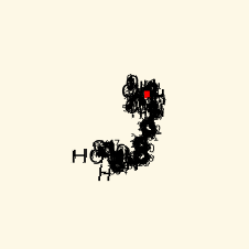 COC(=O)N[C@H](C(=O)N1[C@@H]2CC[C@@H](C2)[C@H]1c1ncc(-c2ccc(-c3ccc4c(ccc5nc([C@@H]6CCCN6C(=O)[C@@H](NC(=O)O)C(C)C)[nH]c54)c3)cc2)[nH]1)[C@@H](C)OC